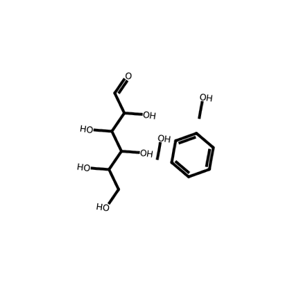 CO.CO.O=CC(O)C(O)C(O)C(O)CO.c1ccccc1